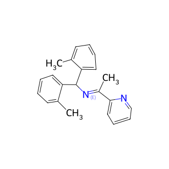 C/C(=N\C(c1ccccc1C)c1ccccc1C)c1ccccn1